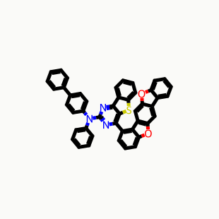 c1ccc(-c2ccc(N(c3ccccc3)c3nc(-c4cccc5oc6cc7c(cc6c45)oc4ccccc47)c4sc5ccccc5c4n3)cc2)cc1